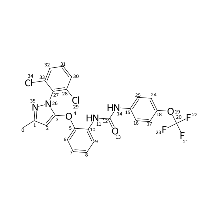 Cc1cc(Oc2ccccc2NC(=O)Nc2ccc(OC(F)(F)F)cc2)n(-c2c(Cl)cccc2Cl)n1